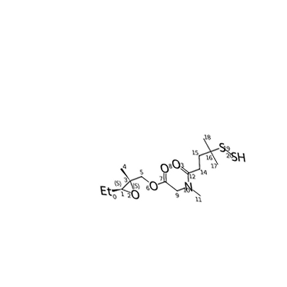 CC[C@@H]1O[C@@]1(C)COC(=O)CN(C)C(=O)CCC(C)(C)SS